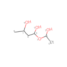 CCC(O)OC(O)CC(C)O